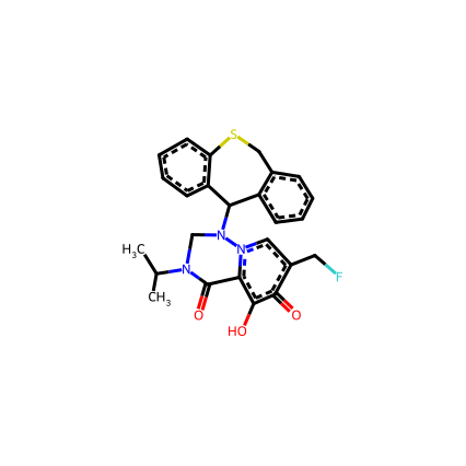 CC(C)N1CN(C2c3ccccc3CSc3ccccc32)n2cc(CF)c(=O)c(O)c2C1=O